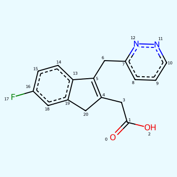 O=C(O)CC1=C(Cc2cccnn2)c2ccc(F)cc2C1